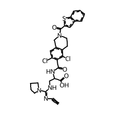 C#C/N=C(\NCC(NC(=O)c1c(Cl)cc2c(c1Cl)CCN(C(=O)c1cc3ccccc3s1)C2)C(=O)O)N1CCCC1